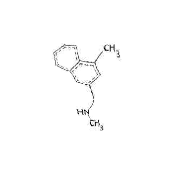 CNCc1cc(C)c2ccccc2c1